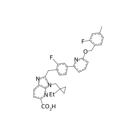 CCC1(Cn2c(Cc3ccc(-c4cccc(OCc5ccc(C)cc5F)n4)cc3F)nc3ccc(C(=O)O)nc32)CC1